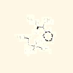 CC(C(=O)O)c1ccccc1.C[N+](C)(C)CCO.[Cl-]